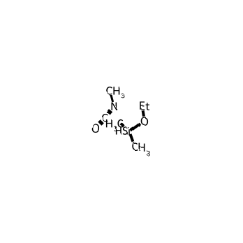 CCO[SiH](C)C.CN=C=O